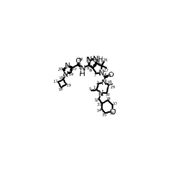 CC1CN(C(=O)N2Cc3c(NC(=O)c4cn(C5CCC5)cn4)n[nH]c3C2(C)C)[C@@H](C)CN1CC1CCOCC1